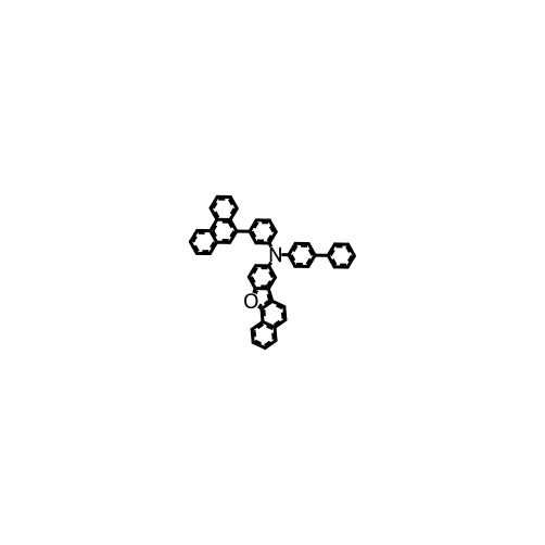 c1ccc(-c2ccc(N(c3cccc(-c4cc5ccccc5c5ccccc45)c3)c3ccc4oc5c6ccccc6ccc5c4c3)cc2)cc1